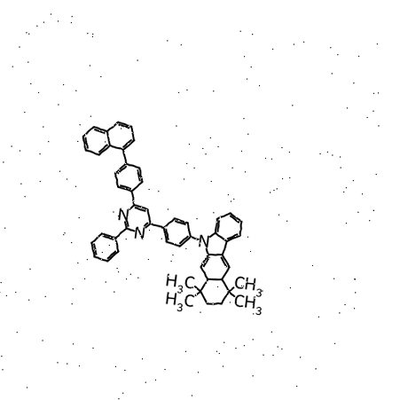 CC1(C)CCC(C)(C)C2C=c3c(c4ccccc4n3-c3ccc(-c4cc(-c5ccc(-c6cccc7ccccc67)cc5)nc(-c5ccccc5)n4)cc3)=CC21